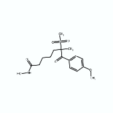 COc1ccc(C(=O)C(C)(CCCCC(=O)NO)S(C)(=O)=O)cc1